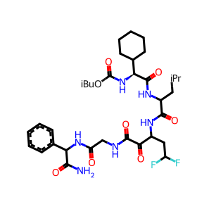 CC(C)COC(=O)N[C@H](C(=O)NC(CC(C)C)C(=O)NC(CC(F)F)C(=O)C(=O)NCC(=O)NC(C(N)=O)c1ccccc1)C1CCCCC1